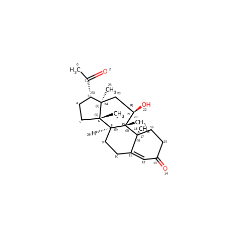 CC(=O)[C@H]1CC[C@@]2(C)[C@@H]3CCC4=CC(=O)CC[C@]4(C)[C@@]3(C)[C@H](O)C[C@]12C